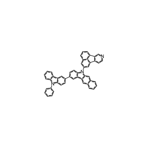 c1ccc(-n2c3ccccc3c3cc(-c4ccc5c(c4)c4cc6ccccc6cc4n5-c4cc5c6c(cccc6c4)-c4cnccc4-5)ccc32)cc1